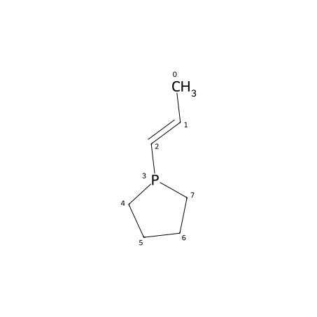 CC=CP1CCCC1